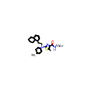 CSNC(=O)c1nc(N(CCc2cccc3ccccc23)c2ccc(C#N)cc2)sc1C